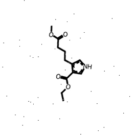 CCOC(=O)c1c[nH]cc1CCCC(=O)OC